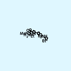 CCN1CCCC1CNC(=O)Cc1ccc(-c2ccc3c(=O)c(C(=O)NC)c(N)n(CC)c3n2)cc1F